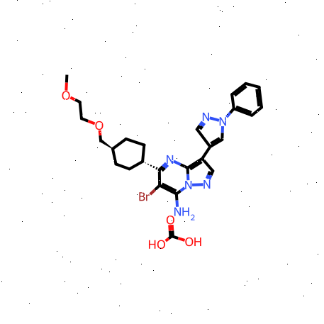 COCCOC[C@H]1CC[C@H](c2nc3c(-c4cnn(-c5ccccc5)c4)cnn3c(N)c2Br)CC1.O=C(O)O